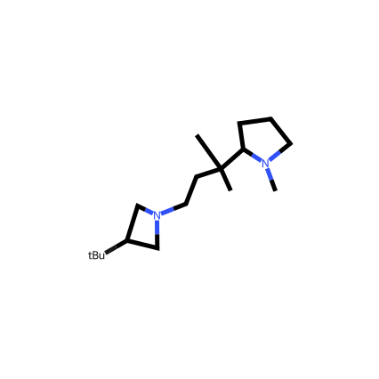 CN1CCCC1C(C)(C)CCN1CC(C(C)(C)C)C1